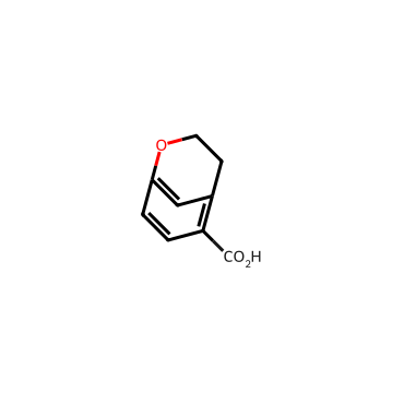 O=C(O)c1ccc2cc1CCO2